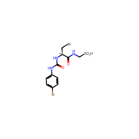 CC(C)C[C@H](NC(=O)Nc1ccc(Br)cc1)C(=O)NCS(=O)(=O)O